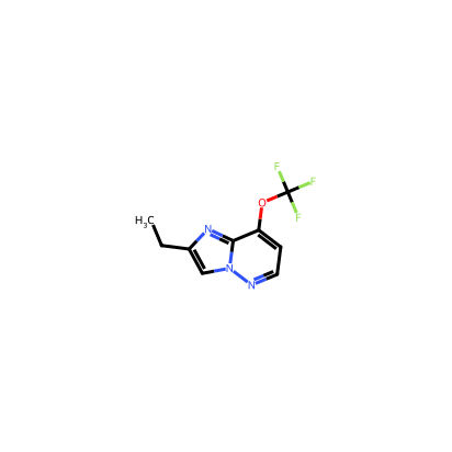 CCc1cn2nccc(OC(F)(F)F)c2n1